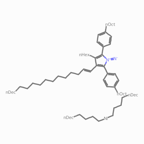 CCCCCCCCCCCCCCCCCCCCC=CC1=C(c2ccc(CCCCCCCC)cc2)[N+](=[N-])C(c2ccc(CCCCCCCC)cc2)=C1CCCCCC.CCCCCCCCCCCCC[CH2][Ni][CH2]CCCCCCCCCCCCC